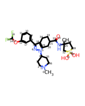 CN1CCC(n2nc(-c3cccc(OC(F)F)c3)c3c2CC(C(=O)NC2(C)CCS(O)(O)C2)CC3)CC1